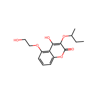 CCC(C)Oc1c(O)c2c(OCCO)cccc2oc1=O